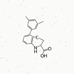 Cc1cc(C)cc(-c2cccc3c2CCC(C(=O)O)N3)c1